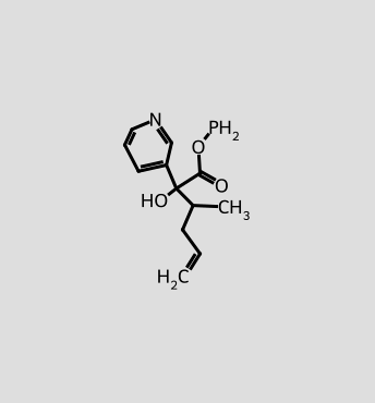 C=CCC(C)C(O)(C(=O)OP)c1cccnc1